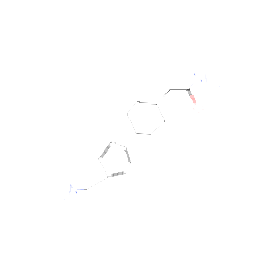 NCc1ccc([C@H]2CC[C@H](CC(N)=O)CC2)cc1